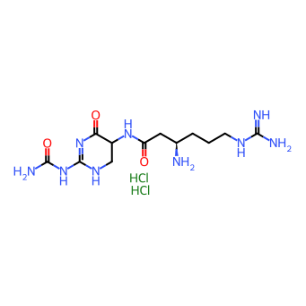 Cl.Cl.N=C(N)NCCC[C@@H](N)CC(=O)NC1CNC(NC(N)=O)=NC1=O